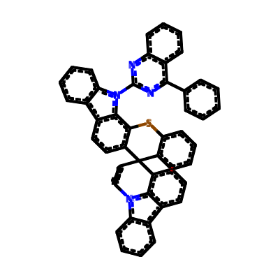 c1ccc(-c2nc(-n3c4ccccc4c4ccc5c(c43)Sc3ccccc3C53c4ccccc4-n4c5ccccc5c5cccc3c54)nc3ccccc23)cc1